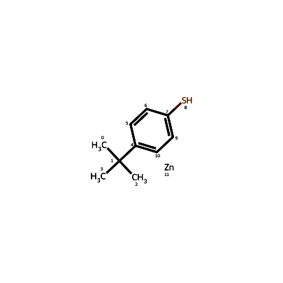 CC(C)(C)c1ccc(S)cc1.[Zn]